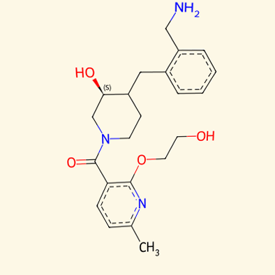 Cc1ccc(C(=O)N2CCC(Cc3ccccc3CN)[C@H](O)C2)c(OCCO)n1